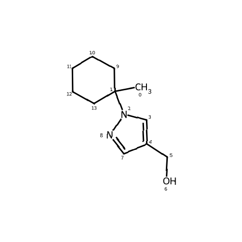 CC1(n2cc(CO)cn2)CCCCC1